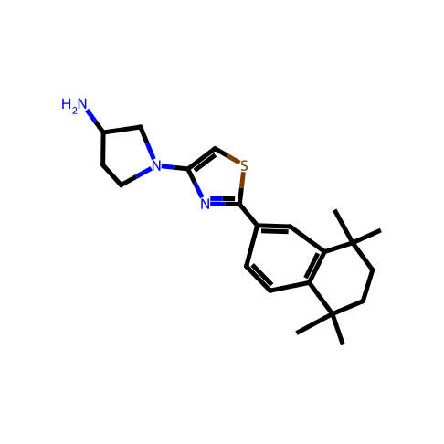 CC1(C)CCC(C)(C)c2cc(-c3nc(N4CCC(N)C4)cs3)ccc21